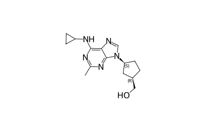 Cc1nc(NC2CC2)c2ncn([C@H]3CC[C@@H](CO)C3)c2n1